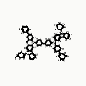 CC1C=CC(n2c3ccccc3c3cc(N(C4=CC=C(c5ccccc5)CC4C)c4ccc(-c5ccc(N(c6ccc(-c7ccccc7)cc6)c6ccc7c(c6)c6ccccc6n7-c6ccccc6)cc5)cc4)ccc32)=CC1